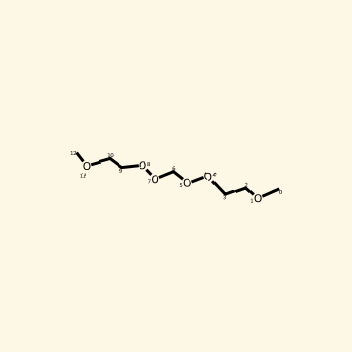 COCCOOCOOCCOC